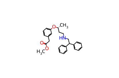 COC(=O)Cc1cccc(O[C@H](C)CCNCC(c2ccccc2)c2ccccc2)c1